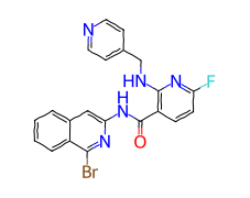 O=C(Nc1cc2ccccc2c(Br)n1)c1ccc(F)nc1NCc1ccncc1